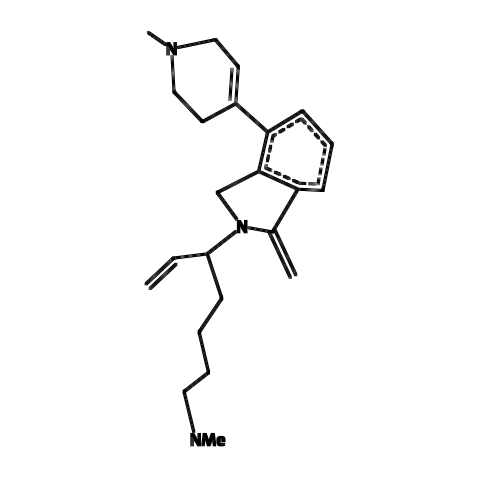 C=CC(CCCCNC)N1Cc2c(cccc2C2=CCN(C)CC2)C1=C